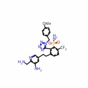 COc1ccc(Cn2nnnc2-c2c(CCc3cnc(CN)c(N)c3)ccc(C(F)(F)F)c2S(N)(=O)=O)cc1